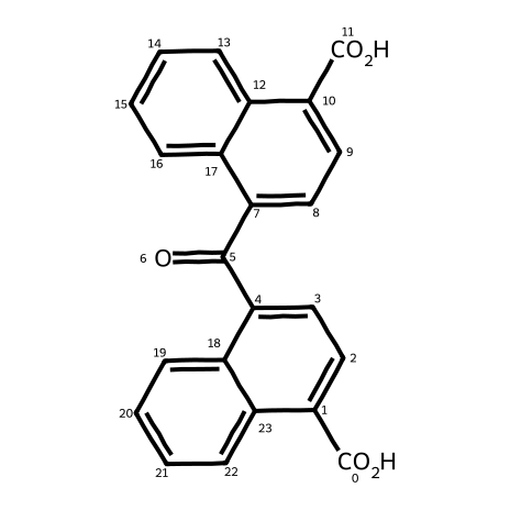 O=C(O)c1ccc(C(=O)c2ccc(C(=O)O)c3ccccc23)c2ccccc12